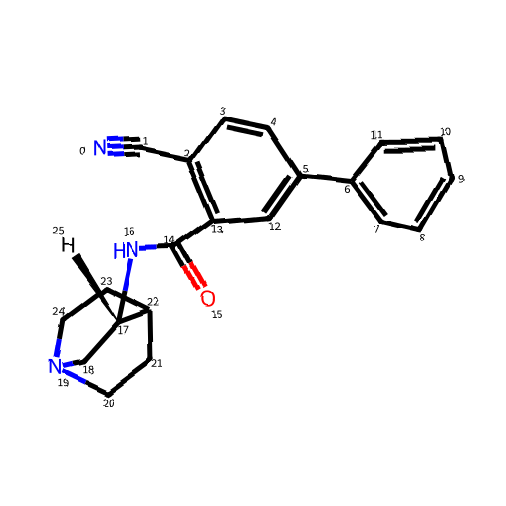 N#Cc1ccc(-c2ccccc2)cc1C(=O)N[C@H]1CN2CCC1CC2